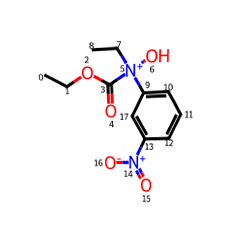 CCOC(=O)[N+](O)(CC)c1cccc([N+](=O)[O-])c1